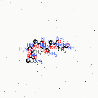 C[C@H](NC(=O)[C@H](CC(N)=O)NC(=O)[C@@H]1CCCN1C(=O)[C@H](CC(N)=O)NC(=O)[C@H](C)NC(=O)[C@H](CC(N)=O)NC(=O)[C@@H]1CCCN1C(=O)[C@H](CC(N)=O)NC(=O)[C@H](C)NC(=O)[C@@H](N)CC(N)=O)C(=O)N[C@@H](CC(N)=O)C(=O)N1CCC[C@H]1C(=O)O